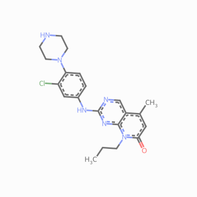 CCCn1c(=O)cc(C)c2cnc(Nc3ccc(N4CCNCC4)c(Cl)c3)nc21